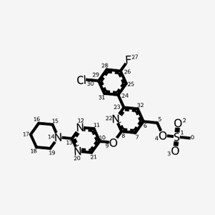 CS(=O)(=O)OCc1cc(Oc2cnc(N3CCCCC3)nc2)nc(-c2cc(F)cc(Cl)c2)c1